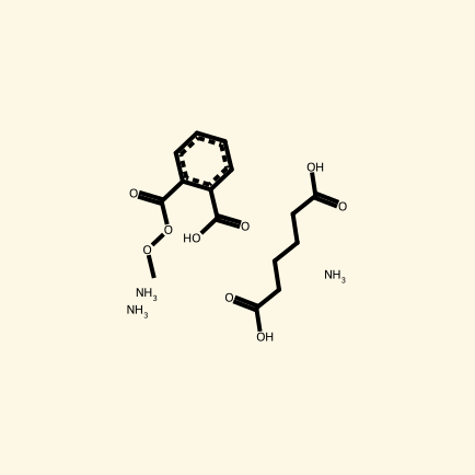 COOC(=O)c1ccccc1C(=O)O.N.N.N.O=C(O)CCCCC(=O)O